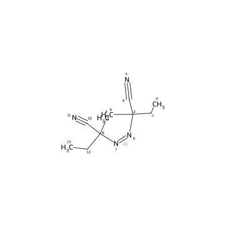 CCC(C)(C#N)/N=N\C(C)(C#N)CC